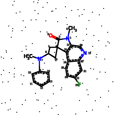 CN1C(=O)C2(CC(N(C)c3ccccc3)C2)c2c1cnc1cc(F)ccc21